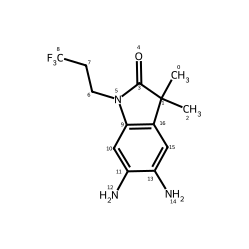 CC1(C)C(=O)N(CCC(F)(F)F)c2cc(N)c(N)cc21